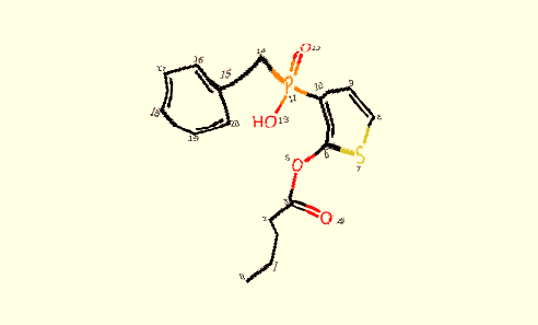 CCCC(=O)Oc1sccc1P(=O)(O)Cc1ccccc1